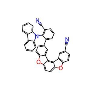 N#Cc1ccc2oc3ccc4oc5ccc(-c6cccc(C#N)c6-n6c7ccccc7c7ccccc76)cc5c4c3c2c1